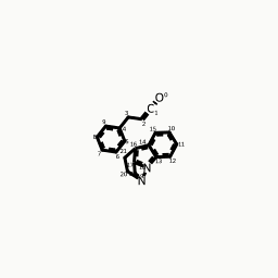 O=C=CCc1ccccc1.c1ccc2c(c1)c1c3n2N(CC1)C3